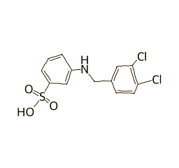 O=S(=O)(O)c1cccc(NCc2ccc(Cl)c(Cl)c2)c1